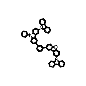 c1ccc(-n2c3ccc(-c4cccc(-c5ccc6oc7ccc(-n8c9ccccc9c9ccccc98)cc7c6c5)c4)cc3c3cc(-n4c5ccccc5c5ccccc54)ccc32)cc1